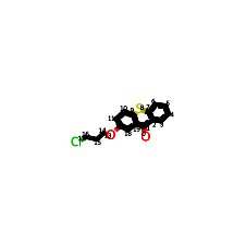 O=c1c2ccccc2sc2ccc(OCCCCl)cc12